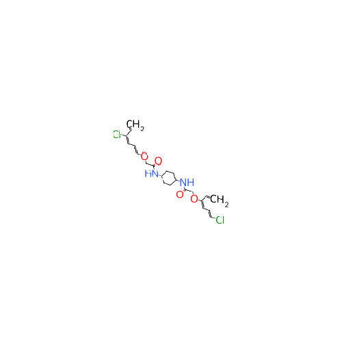 C=C/C(Cl)=C\C=C\OCC(=O)NC1CCC(NC(=O)CO/C(C=C)=C/C=C/Cl)CC1